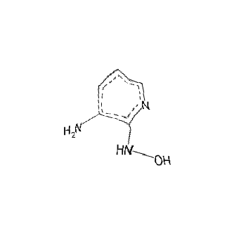 Nc1cccnc1NO